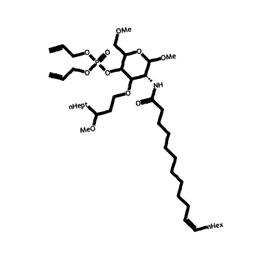 C=CCOP(=O)(OCC=C)OC1C(COC)OC(OC)[C@H](NC(=O)CCCCCCCCC/C=C\CCCCCC)C1OCCC(CCCCCCC)OC